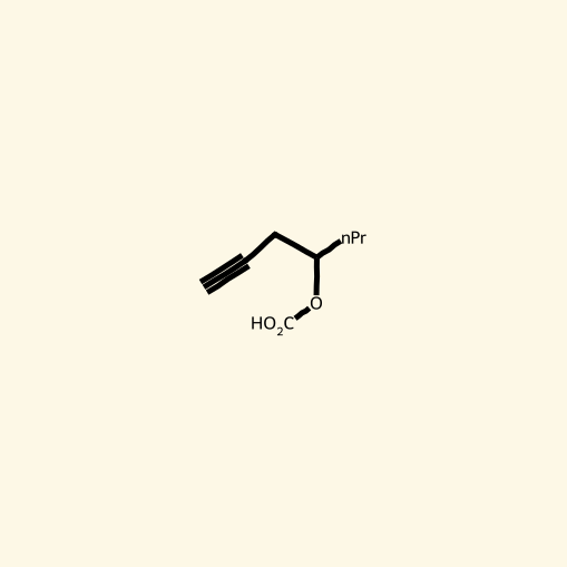 C#CCC(CCC)OC(=O)O